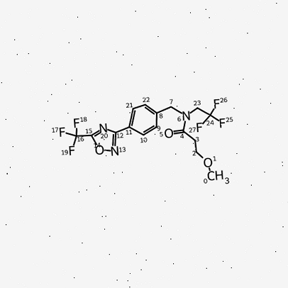 COCCC(=O)N(Cc1ccc(-c2noc(C(F)(F)F)n2)cc1)CC(F)(F)F